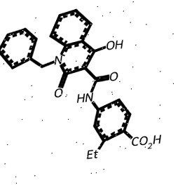 CCc1cc(NC(=O)c2c(O)c3ccccc3n(Cc3ccccc3)c2=O)ccc1C(=O)O